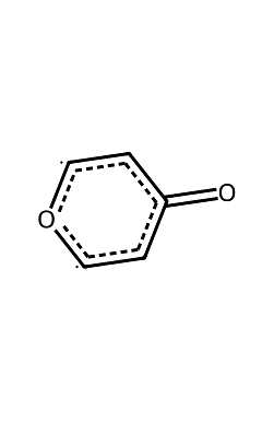 O=c1c[c]o[c]c1